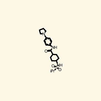 CC(C)S(=O)(=O)NC1CCC(C(=O)Nc2ccc(N3CCCC3)cc2)CC1